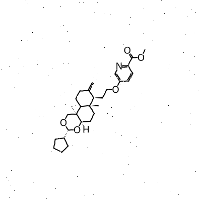 C=C1CCC2[C@]3(C)CO[C@@H](C4CCCC4)O[C@@H]3CC[C@@]2(C)[C@@H]1CCOc1ccc(C(=O)OC)nc1